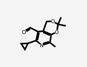 Cc1nc(C2CC2)c(C=O)c2c1OC(C)(C)OC2